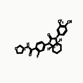 N#Cc1ccc(N2C(=O)N(c3ccc(C(=O)N[C@H]4CCOC4)c(F)c3)[C@H]3CCCC[C@@H]32)cc1C(F)(F)F